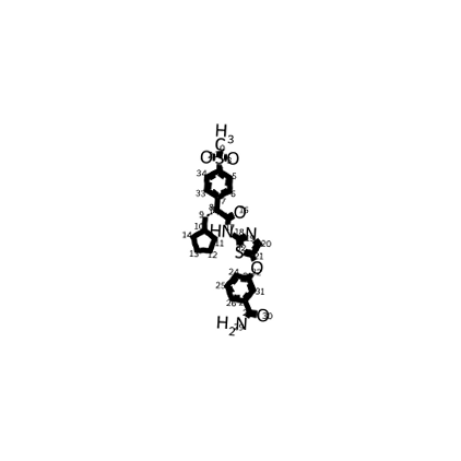 CS(=O)(=O)c1ccc([C@@H](CC2CCCC2)C(=O)Nc2ncc(Oc3cccc(C(N)=O)c3)s2)cc1